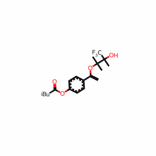 C=C(OC(C)(C)C(C)(O)C(F)(F)F)c1ccc(OC(=O)C(C)CC)cc1